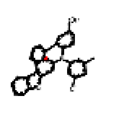 Cc1cc(Cl)cc(N(c2ccc3c(c2)oc2ccccc23)c2ccc(C(C)(C)C)cc2-c2ccccc2)c1